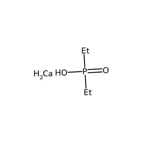 CCP(=O)(O)CC.[CaH2]